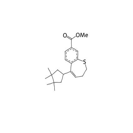 COC(=O)c1ccc2c(c1)SCCC=C2C1CC(C)(C)C(C)(C)C1